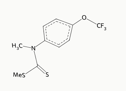 CSC(=S)N(C)c1ccc(OC(F)(F)F)cc1